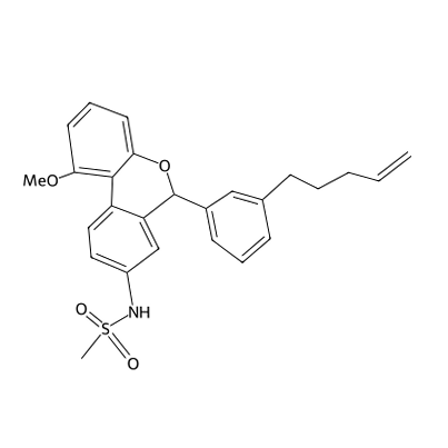 C=CCCCc1cccc(C2Oc3cccc(OC)c3-c3ccc(NS(C)(=O)=O)cc32)c1